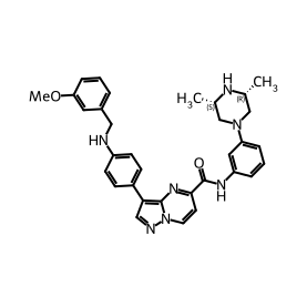 COc1cccc(CNc2ccc(-c3cnn4ccc(C(=O)Nc5cccc(N6C[C@@H](C)N[C@@H](C)C6)c5)nc34)cc2)c1